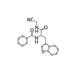 N#CCNC(=O)C(Cc1csc2ccccc12)NC(=O)c1ccccc1